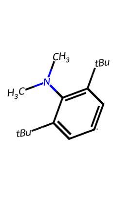 CN(C)c1c(C(C)(C)C)c[c]cc1C(C)(C)C